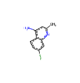 Cc1cc(N)c2ccc(F)cc2n1